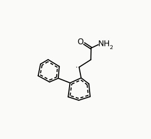 NC(=O)C[CH]c1ccccc1-c1ccccc1